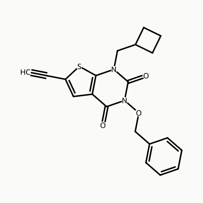 C#Cc1cc2c(=O)n(OCc3ccccc3)c(=O)n(CC3CCC3)c2s1